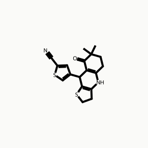 CC1(C)CCC2=C(C1=O)C(c1csc(C#N)c1)C1=C(CCS1)N2